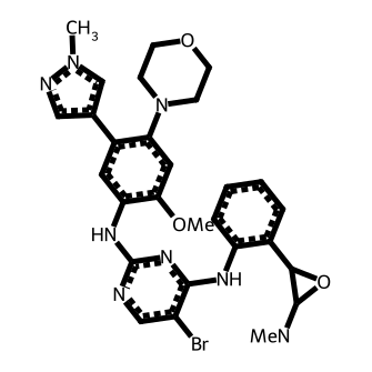 CNC1OC1c1ccccc1Nc1nc(Nc2cc(-c3cnn(C)c3)c(N3CCOCC3)cc2OC)ncc1Br